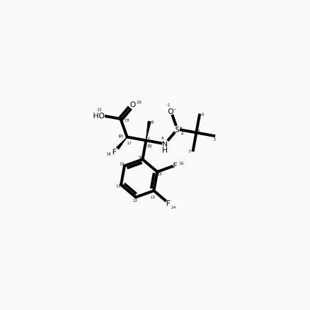 CC(C)(C)[S+]([O-])N[C@](C)(c1cccc(F)c1F)[C@@H](F)C(=O)O